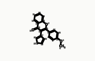 COc1ccc(-c2oc3ccccc3c(=O)c2-c2ccsc2)cc1